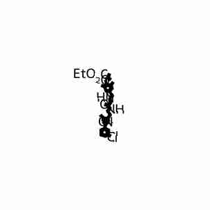 CCOC(=O)C(C)(C)Oc1c(C)cc(CNCC(=O)NCCc2nc(-c3cccc(Cl)c3)oc2C)cc1C